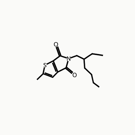 CCCCC(CC)CN1C(=O)c2cc(C)sc2C1=O